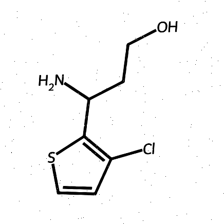 NC(CCO)c1sccc1Cl